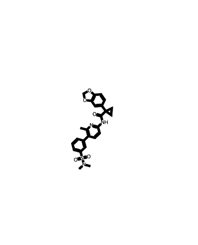 Cc1nc(NC(=O)C2(c3ccc4c(c3)OCO4)CC2)ccc1-c1cccc(S(=O)(=O)N(C)C)c1